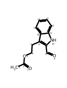 CC(=O)OCCc1c(C=O)[nH]c2ccccc12